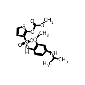 COC(=O)Oc1sccc1S(=O)(=O)Nc1ccc(NC(C)C)cc1OC